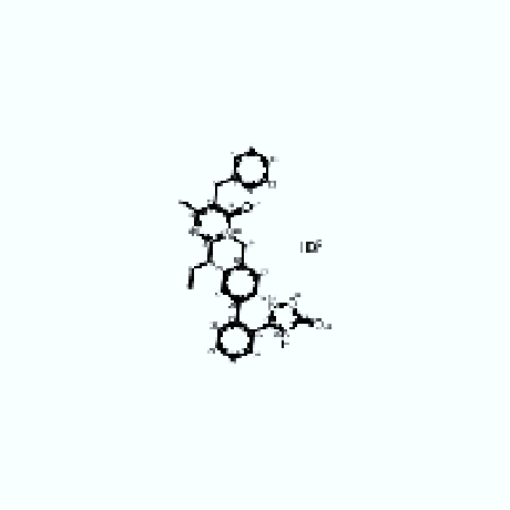 Br.CCCc1nc(C)c(Cc2ccccc2)c(=O)n1Cc1ccc(-c2ccccc2-c2noc(=O)[nH]2)cc1